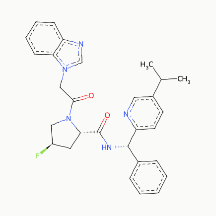 CC(C)c1ccc([C@@H](NC(=O)[C@@H]2C[C@@H](F)CN2C(=O)Cn2cnc3ccccc32)c2ccccc2)nc1